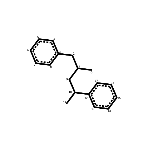 CC(Cc1ccccc1)CC(C)c1ccccc1